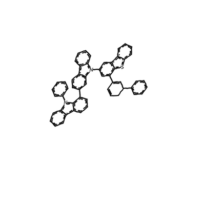 C1=CC(c2cc(-n3c4ccccc4c4ccc(-c5cccc6c7ccccc7n(-c7ccccc7)c56)cc43)cc3c2sc2ccccc23)=CC(c2ccccc2)C1